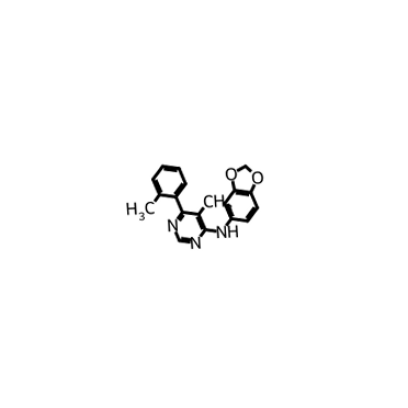 Cc1ccccc1-c1ncnc(Nc2ccc3c(c2)OCO3)c1C